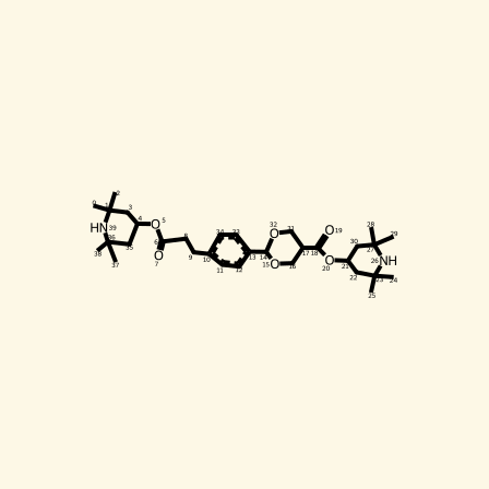 CC1(C)CC(OC(=O)CCc2ccc(C3OCC(C(=O)OC4CC(C)(C)NC(C)(C)C4)CO3)cc2)CC(C)(C)N1